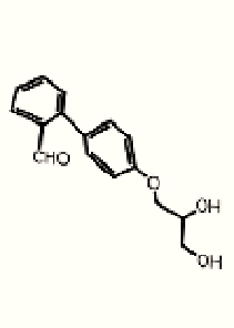 O=Cc1ccccc1-c1ccc(OCC(O)CO)cc1